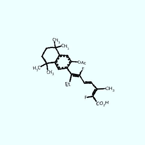 CCC(=C(F)C=CC(C)=C(F)C(=O)O)c1cc2c(cc1OC(C)=O)C(C)(C)CCC2(C)C